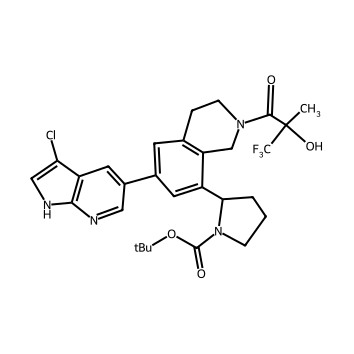 CC(C)(C)OC(=O)N1CCCC1c1cc(-c2cnc3[nH]cc(Cl)c3c2)cc2c1CN(C(=O)C(C)(O)C(F)(F)F)CC2